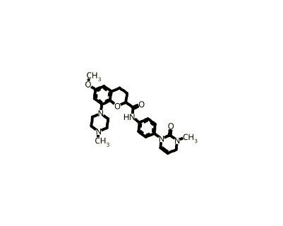 COc1cc2c(c(N3CCN(C)CC3)c1)OC(C(=O)Nc1ccc(N3C=CCN(C)C3=O)cc1)CC2